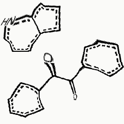 O=C(C(=O)c1ccccc1)c1ccccc1.c1c[nH]c2cccc-2c1